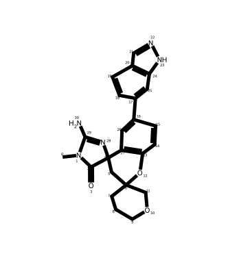 CN1C(=O)C2(CC3(CCCOC3)Oc3ccc(-c4ccc5cn[nH]c5c4)cc32)N=C1N